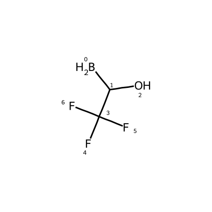 BC(O)C(F)(F)F